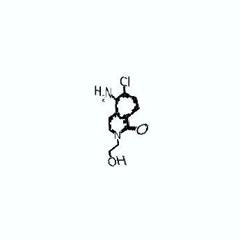 Nc1c(Cl)ccc2c(=O)n(CCO)ccc12